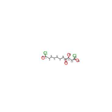 O=C(Cl)CCCCCCC(=O)C(=O)CC(=O)Cl